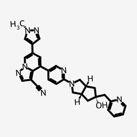 Cn1cc(-c2cc(-c3ccc(N4C[C@@H]5C[C@@](O)(Cc6ccccn6)C[C@@H]5C4)nc3)c3c(C#N)cnn3c2)cn1